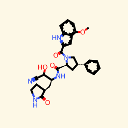 COc1cccc2[nH]c(C(=O)N3C[C@H](c4ccccc4)C[C@H]3C(=O)N[C@@H](C[C@@H]3CCNC3=O)C(O)C#N)cc12